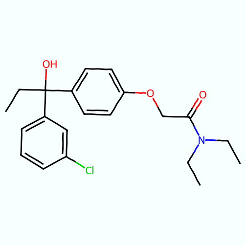 CCN(CC)C(=O)COc1ccc(C(O)(CC)c2cccc(Cl)c2)cc1